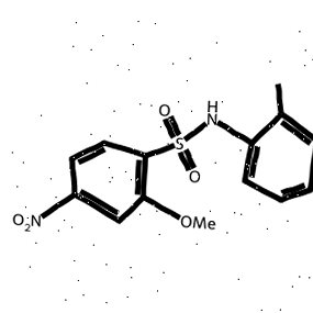 COc1cc([N+](=O)[O-])ccc1S(=O)(=O)Nc1ccccc1C